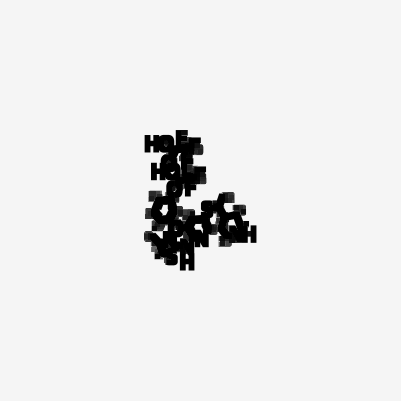 Cc1csc(Nc2ncc(SC(C)C3CCNCC3)cc2Oc2ccccc2)n1.O=C(O)C(F)(F)F.O=C(O)C(F)(F)F